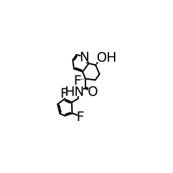 O=C(NCc1c(F)cccc1F)[C@]1(F)CC[C@H](O)c2ncccc21